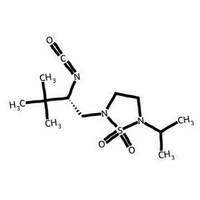 CC(C)N1CCN(C[C@@H](N=C=O)C(C)(C)C)S1(=O)=O